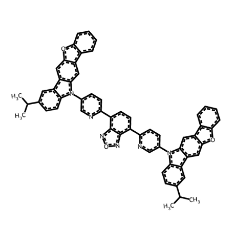 CC(C)c1ccc2c(c1)c1cc3oc4ccccc4c3cc1n2-c1ccc(-c2ccc(-c3ccc(-n4c5ccc(C(C)C)cc5c5cc6oc7ccccc7c6cc54)cn3)c3nonc23)nc1